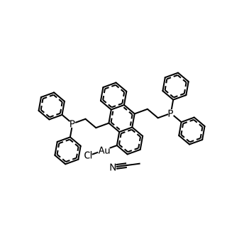 CC#N.[Cl][Au][c]1cccc2c(CCP(c3ccccc3)c3ccccc3)c3ccccc3c(CCP(c3ccccc3)c3ccccc3)c12